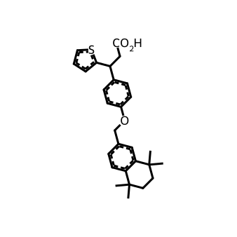 CC1(C)CCC(C)(C)c2cc(COc3ccc(C(CC(=O)O)c4cccs4)cc3)ccc21